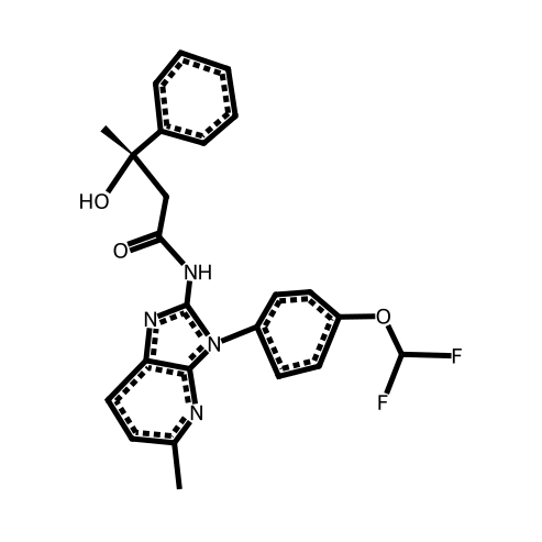 Cc1ccc2nc(NC(=O)C[C@](C)(O)c3ccccc3)n(-c3ccc(OC(F)F)cc3)c2n1